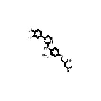 CN(C)CC(O)COc1ccc(Nc2nccc(-c3ccc(Cl)c(Cl)c3)n2)cc1.N